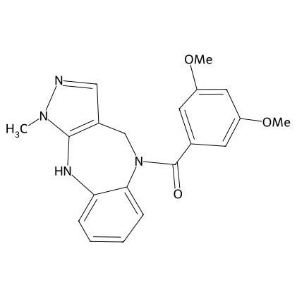 COc1cc(OC)cc(C(=O)N2Cc3cnn(C)c3Nc3ccccc32)c1